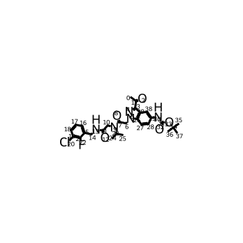 CC(=O)c1nn(CC(=O)N(CC(=O)NCc2cccc(Cl)c2F)C(C)C)c2ccc(NC(=O)OC(C)(C)C)cc12